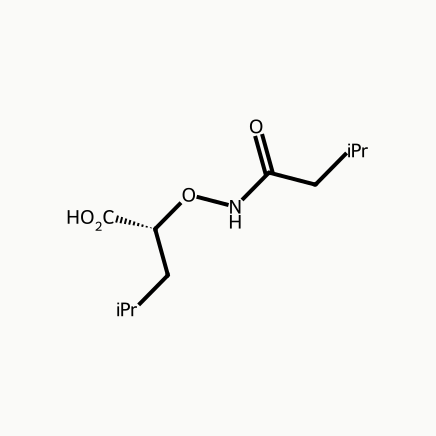 CC(C)CC(=O)NO[C@H](CC(C)C)C(=O)O